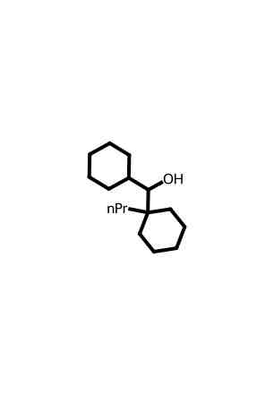 CCCC1(C(O)C2CCCCC2)CCCCC1